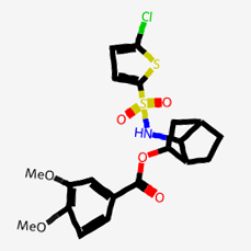 COc1ccc(C(=O)OC2CC3CCC2C3NS(=O)(=O)c2ccc(Cl)s2)cc1OC